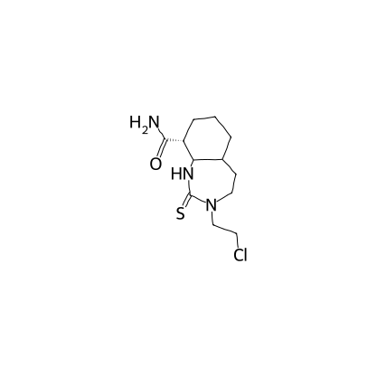 NC(=O)[C@@H]1CCCC2CCN(CCCl)C(=S)NC21